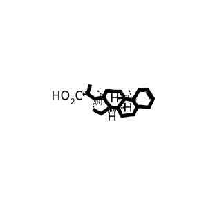 C[C@H](C(=O)O)[C@H]1CC[C@H]2[C@@H]3CCC4CC=CC[C@]4(C)[C@H]3CC[C@]12C